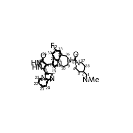 CNCC1CCN(C(=O)N2CCn3cc(-c4c(-c5cnc6ccccn56)[nH][nH]c4=O)c4cc(F)cc(c43)C2)CC1